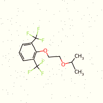 CC(C)OCCOc1c(C(F)(F)F)cccc1C(F)(F)F